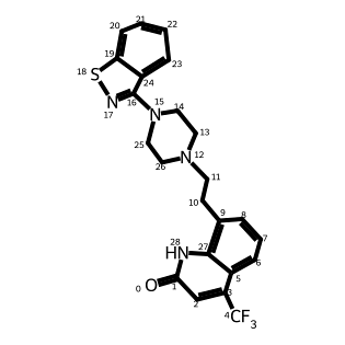 O=c1cc(C(F)(F)F)c2cccc(CCN3CCN(c4nsc5ccccc45)CC3)c2[nH]1